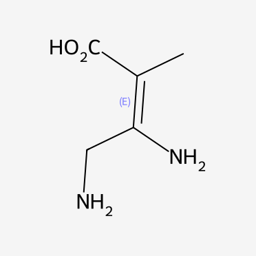 C/C(C(=O)O)=C(\N)CN